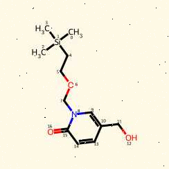 C[Si](C)(C)CCOCn1cc(CO)ccc1=O